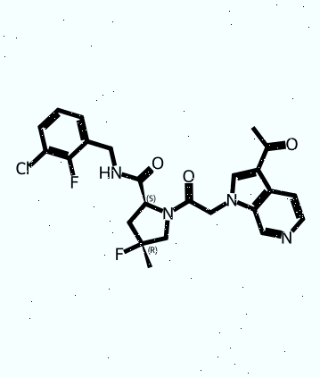 CC(=O)c1cn(CC(=O)N2C[C@](C)(F)C[C@H]2C(=O)NCc2cccc(Cl)c2F)c2cnccc12